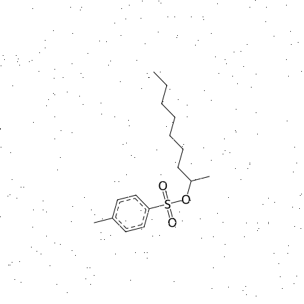 CCCCCCCC(C)OS(=O)(=O)c1ccc(C)cc1